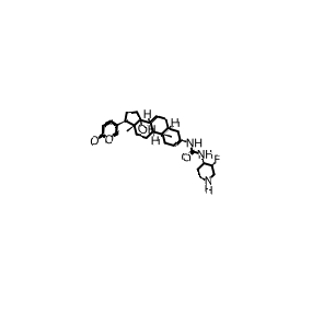 C[C@]12CC[C@H](NC(=O)NC3CCNC[C@@H]3F)C[C@H]1CC[C@@H]1[C@@H]2CC[C@]2(C)[C@@H](c3ccc(=O)oc3)CC[C@]12O